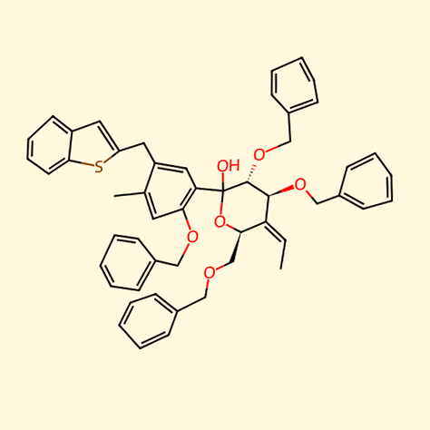 CC=C1[C@@H](COCc2ccccc2)OC(O)(c2cc(Cc3cc4ccccc4s3)c(C)cc2OCc2ccccc2)[C@H](OCc2ccccc2)[C@H]1OCc1ccccc1